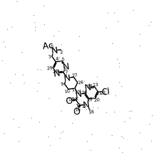 CC(=O)N(C)Cc1cnc(N2CCC(n3c(=O)c(=O)n(C)c4cc(Cl)cnc43)CC2)nc1